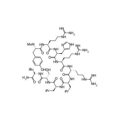 CC[C@H](C)[C@H](NC(=O)[C@H](CO)NC(=O)[C@H](CC(C)C)NC(=O)[C@H](CC(C)C)NC(=O)[C@@H](CCCNC(=N)N)NC(=O)[C@H](CCCNC(=N)N)NC(=O)[C@H](Cc1c[nH]cn1)NC(=O)[C@H](CCCNC(=N)N)NC(=O)[C@H](Cc1ccc(O)cc1)NC)C(N)=O